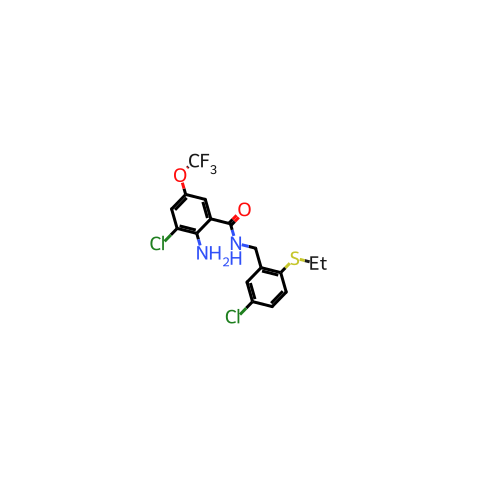 CCSc1ccc(Cl)cc1CNC(=O)c1cc(OC(F)(F)F)cc(Cl)c1N